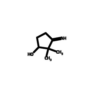 CC1(C)C(=N)CCC1O